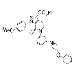 COc1ccc(-n2nc(C(=O)O)c3c2C(=O)N(c2cccc(NCCOc4ccccc4)c2)CC3)cc1